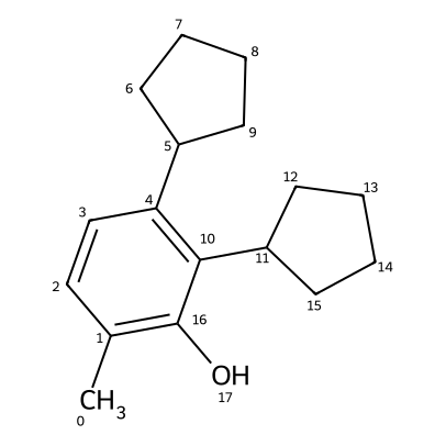 Cc1ccc(C2CCCC2)c(C2CCCC2)c1O